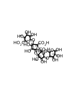 O=C(O)[C@H]1O[C@H](O[C@@H]2[C@H](O)[C@@H](O)[C@@H](O[C@@H]3[C@H](O)[C@@H](O)[C@@H](O[C@@H]4[C@H](O)[C@@H](O)[C@@H](O)O[C@@H]4C(=O)O)O[C@@H]3C(=O)O)O[C@@H]2C(=O)O)[C@H](O)[C@@H](O)[C@H]1O